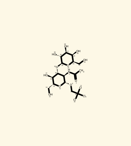 CC(=O)N[C@H]1[C@H](OCC(Cl)(Cl)Cl)O[C@H](CO)[C@@H](O)[C@@H]1O[C@@H]1O[C@H](CO)[C@H](O)[C@H](O)[C@H]1O